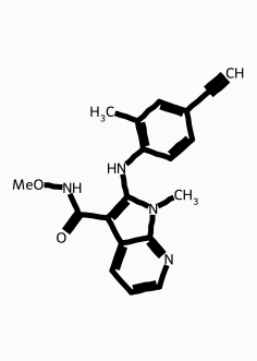 C#Cc1ccc(Nc2c(C(=O)NOC)c3cccnc3n2C)c(C)c1